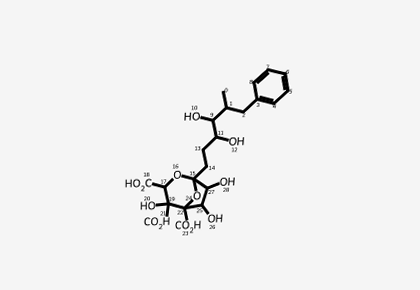 CC(Cc1ccccc1)C(O)C(O)CCC12OC(C(=O)O)C(O)(C(=O)O)C(C(=O)O)(O1)C(O)C2O